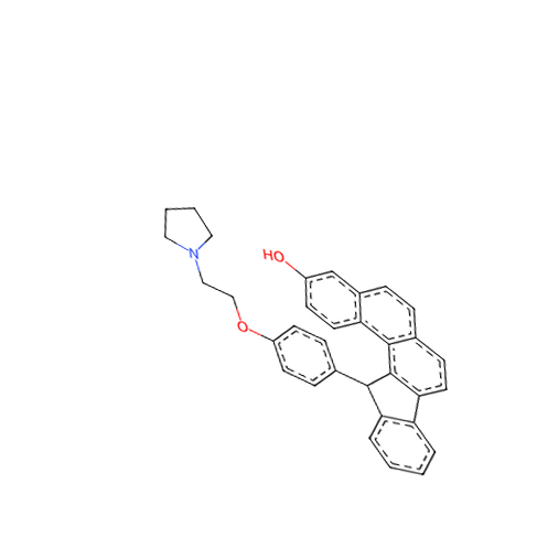 Oc1ccc2c(ccc3ccc4c(c32)C(c2ccc(OCCN3CCCC3)cc2)c2ccccc2-4)c1